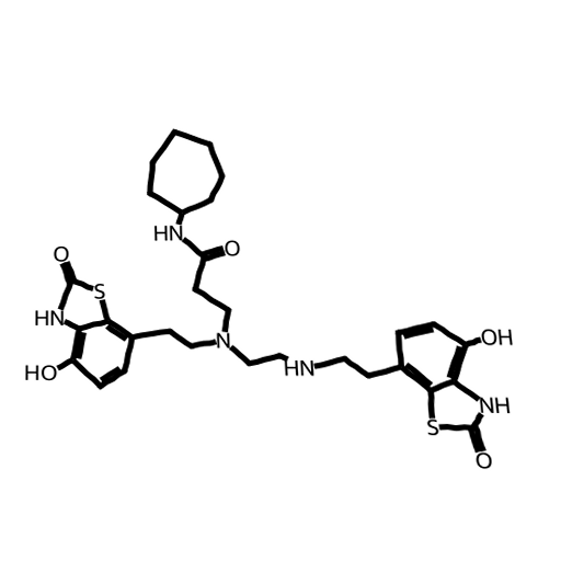 O=C(CCN(CCNCCc1ccc(O)c2[nH]c(=O)sc12)CCc1ccc(O)c2[nH]c(=O)sc12)NC1CCCCCC1